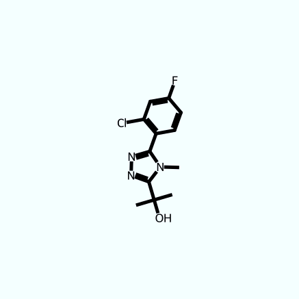 Cn1c(-c2ccc(F)cc2Cl)nnc1C(C)(C)O